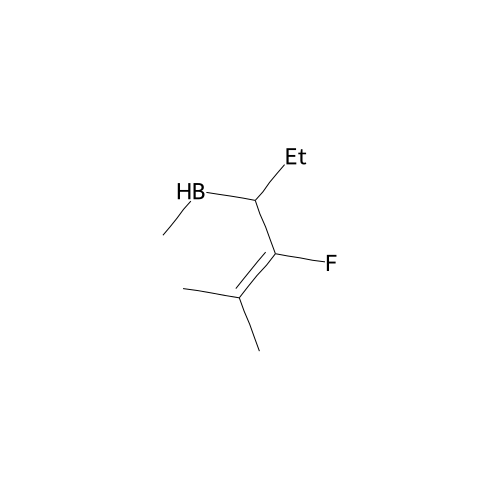 CBC(CC)C(F)=C(C)C